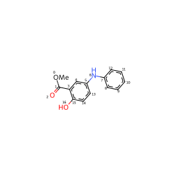 COC(=O)c1cc(Nc2ccccc2)ccc1O